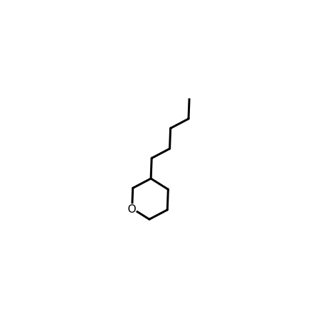 CCCCCC1CCCOC1